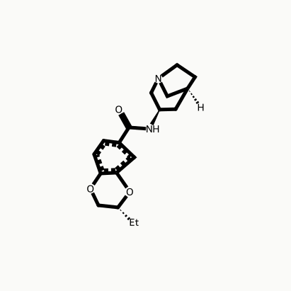 CC[C@@H]1COc2ccc(C(=O)N[C@@H]3C[C@@H]4CCN(C4)C3)cc2O1